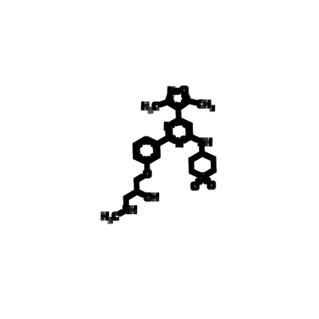 CNCC(O)COc1cccc(-c2nc(NC3CCS(=O)(=O)CC3)cc(-c3c(C)noc3C)n2)c1